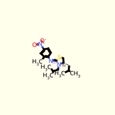 Cc1cc([N+](=O)[O-])ccc1/N=C1\SC[C@H](CC(C)C)N1CC(C)C